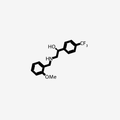 COc1ccccc1CNC[C@@H](O)c1ccc(C(F)(F)F)cc1